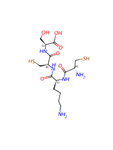 NCCCC[C@H](NC(=O)[C@@H](N)CS)C(=O)N[C@@H](CS)C(=O)N[C@@H](CO)C(=O)O